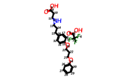 O=C(O)C(F)(F)F.O=C(O)CCNCCCc1ccc(OCCCOc2ccccc2)cc1